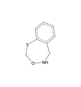 c1ccc2c(c1)CNOCS2